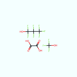 O=C(O)C(=O)O.OC(F)(F)C(F)(F)C(F)(F)F.OC(F)(F)F